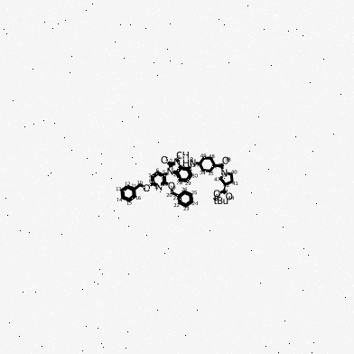 Cn1c(=O)n(-c2ccc(OCc3ccccc3)nc2OCc2ccccc2)c2cccc(NC3CCC(C(=O)N4CC[C@@H](C(=O)OC(C)(C)C)C4)CC3)c21